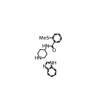 CSc1ccccc1C(=O)N[C@@H]1CCN[C@@H](c2nc3ccccc3[nH]2)C1